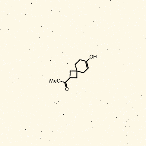 COC(=O)C1CC2(CC=C(O)CC2)C1